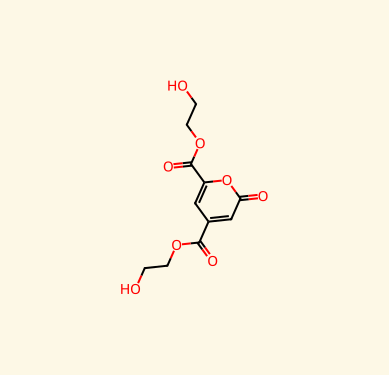 O=C(OCCO)c1cc(C(=O)OCCO)oc(=O)c1